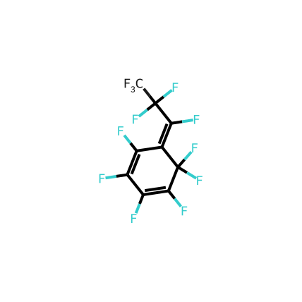 FC1=C(F)C(=C(F)C(F)(F)C(F)(F)F)C(F)(F)C(F)=C1F